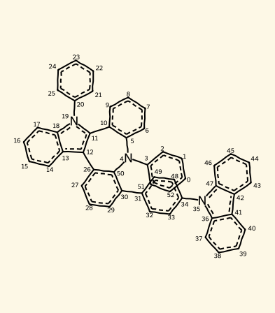 c1ccc(N2c3ccccc3-c3c(c4ccccc4n3-c3ccccc3)-c3cccc(-c4ccc(-n5c6ccccc6c6ccccc65)cc4)c32)cc1